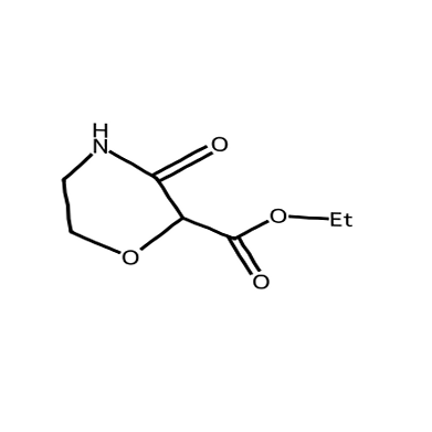 CCOC(=O)C1OCCNC1=O